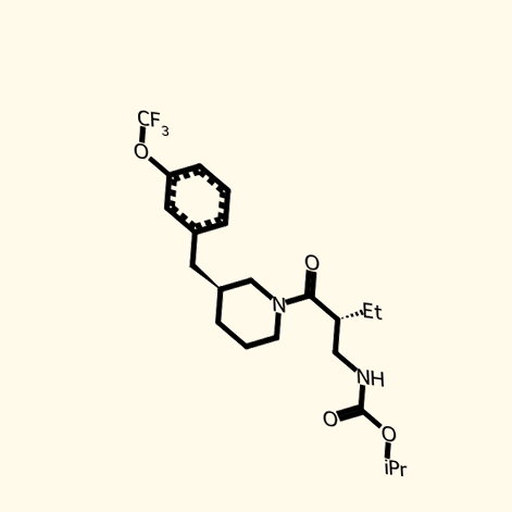 CC[C@H](CNC(=O)OC(C)C)C(=O)N1CCC[C@@H](Cc2cccc(OC(F)(F)F)c2)C1